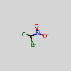 O=[N+]([O-])C(Cl)Br